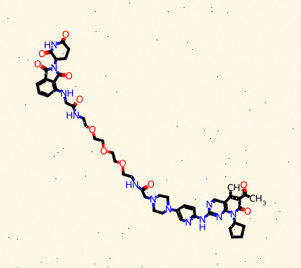 CC(=O)c1c(C)c2cnc(Nc3ccc(N4CCN(CC(=O)NCCOCCOCCOCCNC(=O)CNc5cccc6c5C(=O)N(C5CCC(=O)NC5=O)C6=O)CC4)cn3)nc2n(C2CCCC2)c1=O